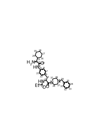 CCC(=O)NC(Cc1ccc(NC(=O)C(N)C2CCCCC2)cc1)C(=O)N1CCN(Cc2ccccc2)CC1